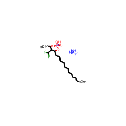 CCCCCCCCCCCCCCCCCCCCCC(OP(=O)(O)O)C(CCCCCCCCCCC)C(F)F.N.N